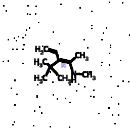 C=C/C(=C(\C)NC)C(C)(C)C